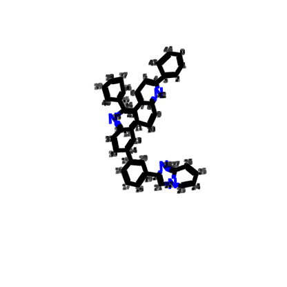 c1ccc(-c2ccc3c(ccc4c5cc(-c6cccc(-c7cn8ccccc8n7)c6)ccc5nc(-c5ccccc5)c34)n2)cc1